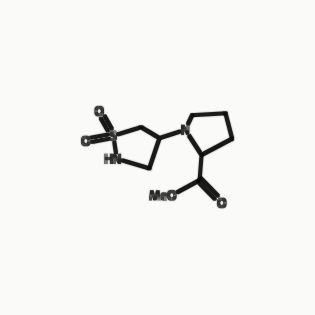 COC(=O)C1CCCN1C1CNS(=O)(=O)C1